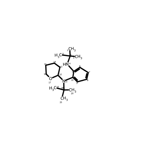 CC(C)(C)Nc1ccccc1N(C1CCCCO1)C(C)(C)C